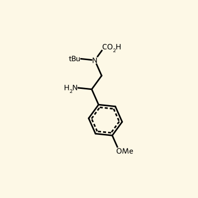 COc1ccc(C(N)CN(C(=O)O)C(C)(C)C)cc1